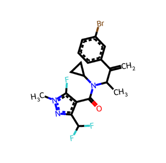 C=C(c1cccc(Br)c1)C(C)N(C(=O)c1c(C(F)F)nn(C)c1F)C1CC1